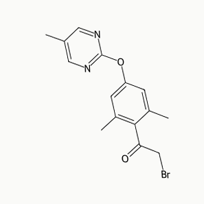 Cc1cnc(Oc2cc(C)c(C(=O)CBr)c(C)c2)nc1